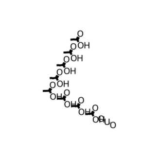 CC(=O)O.CC(=O)O.CC(=O)O.CC(=O)O.CC(=O)O.CC(=O)O.CC(=O)O.CC(=O)O.[O]=[U]=[O]